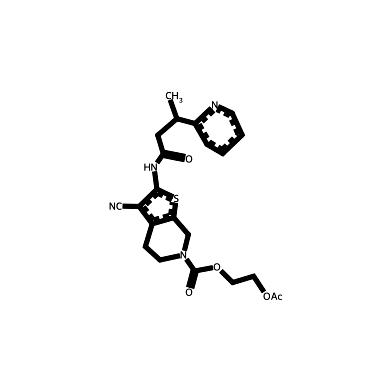 CC(=O)OCCOC(=O)N1CCc2c(sc(NC(=O)CC(C)c3ccccn3)c2C#N)C1